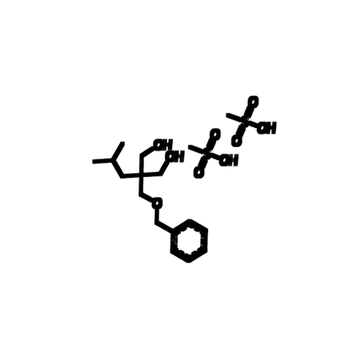 CC(C)CC(CO)(CO)COCc1ccccc1.CS(=O)(=O)O.CS(=O)(=O)O